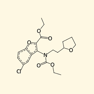 CCOC(=O)c1oc2ccc(Cl)cc2c1N(CCC1CCCO1)C(=O)OCC